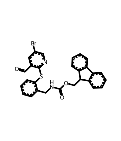 O=Cc1cc(Br)cnc1Sc1ccccc1CNC(=O)OCC1c2ccccc2-c2ccccc21